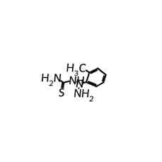 Cc1ccccc1N(N)NC(N)=S